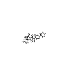 O=C(Nc1ccc(N2CCCCC2)cc1)c1c(O)c2c([nH]c1=O)CNCC2